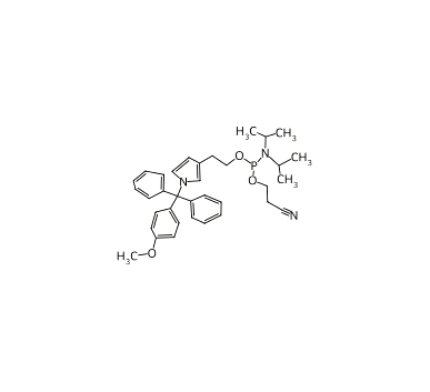 COc1ccc(C(c2ccccc2)(c2ccccc2)n2ccc(CCOP(OCCC#N)N(C(C)C)C(C)C)c2)cc1